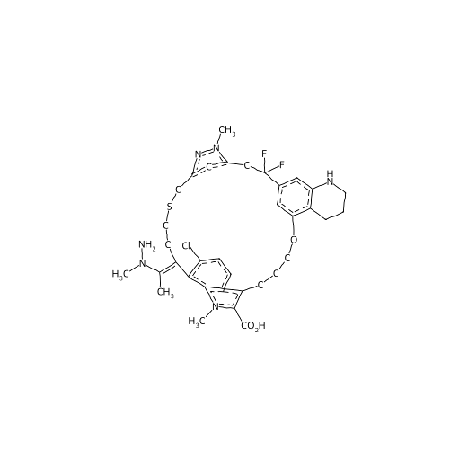 C/C(=C1/CCSCc2cc(n(C)n2)CC(F)(F)c2cc3c(c(c2)OCCCc2c(C(=O)O)n(C)c4c1c(Cl)ccc24)CCCN3)N(C)N